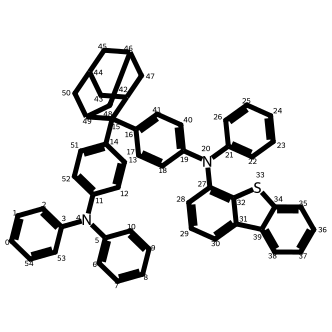 c1ccc(N(c2ccccc2)c2ccc(C3(c4ccc(N(c5ccccc5)c5cccc6c5sc5ccccc56)cc4)C4CC5CC(C4)CC3C5)cc2)cc1